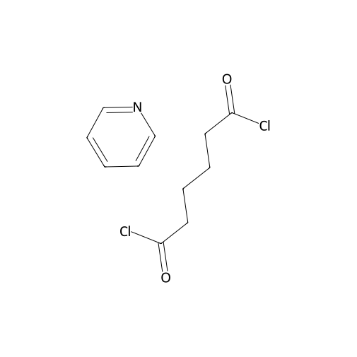 O=C(Cl)CCCCC(=O)Cl.c1ccncc1